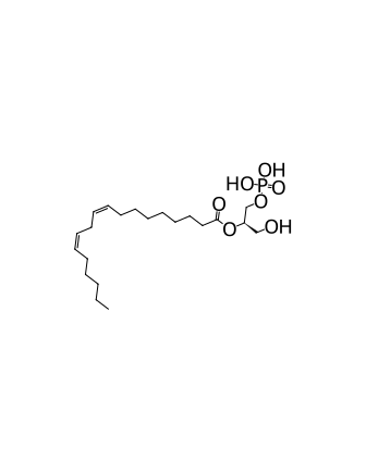 CCCCC/C=C\C/C=C\CCCCCCCC(=O)O[C@H](CO)COP(=O)(O)O